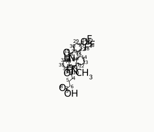 CN(C(=O)CCCC(=O)O)[C@H]1c2ccccc2N(C(=O)c2ccc(OC(F)(F)F)cc2)[C@@H]2CCC[C@@H]21